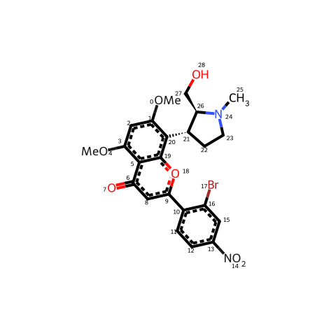 COc1cc(OC)c2c(=O)cc(-c3ccc([N+](=O)[O-])cc3Br)oc2c1[C@H]1CCN(C)[C@@H]1CO